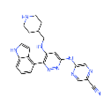 N#Cc1cnc(Nc2cc(NCC3CCNCC3)c(-c3cccc4[nH]ccc34)nn2)cn1